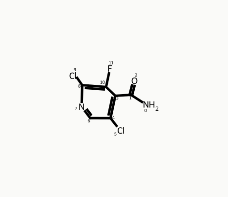 NC(=O)c1c(Cl)cnc(Cl)c1F